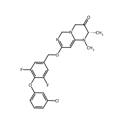 C[C@H]1C(=O)CN2CN=C(OCc3cc(F)c(Oc4cccc(Cl)c4)c(F)c3)C=C2N1C